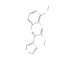 COc1nc2c(OC)cccc2nc1-c1ccsc1.Cl